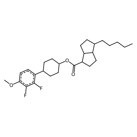 CCCCCC1CCC2C(C(=O)OC3CCC(c4ccc(OC)c(F)c4F)CC3)CCC12